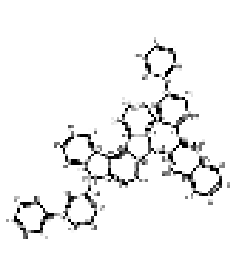 c1ccc(-c2ccc(-c3nc4ccccc4nc3-n3c4ccccc4c4c5c6ccccc6n(-c6cccc(-c7ccccc7)c6)c5ccc43)cc2)cc1